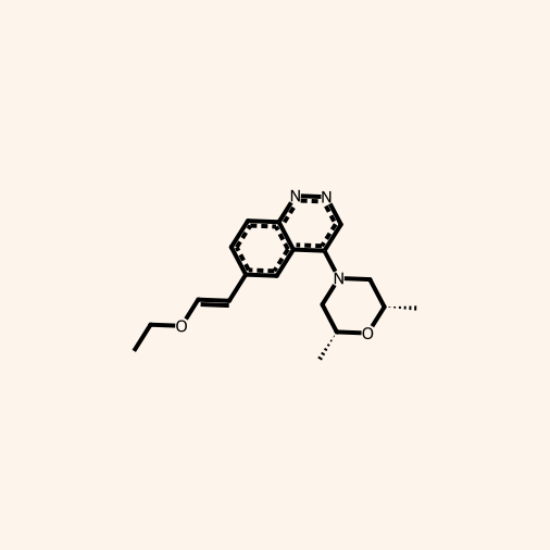 CCO/C=C/c1ccc2nncc(N3C[C@@H](C)O[C@@H](C)C3)c2c1